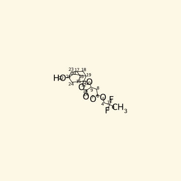 CC(F)(F)COC(=O)CC1OC2(OC1=O)C1CC3CC2CC(O)(C3)C1